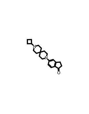 O=C1CCc2cc(N3CCC4(CC3)CCN(C3CCC3)CC4)ccc21